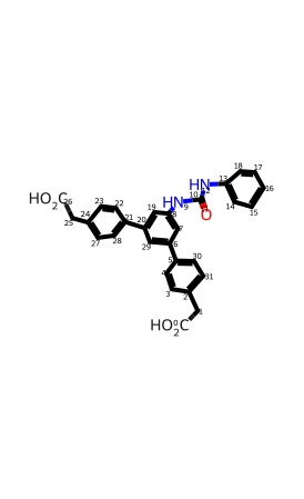 O=C(O)Cc1ccc(-c2cc(NC(=O)Nc3ccccc3)cc(-c3ccc(CC(=O)O)cc3)c2)cc1